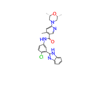 Cc1cc(N2C[C@@H](C)O[C@@H](C)C2)ncc1C(=O)Nc1ccc(Cl)c(-c2nc3ccccc3[nH]2)c1